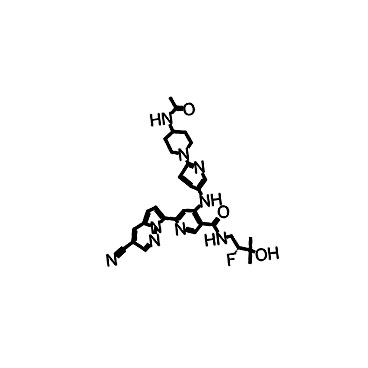 CC(=O)NC1CCN(c2ccc(Nc3cc(-c4ccc5cc(C#N)cnn45)ncc3C(=O)NC[C@@H](F)C(C)(C)O)cn2)CC1